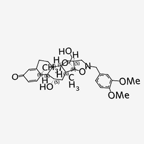 COc1ccc(CN2C[C@@H]3C[C@H]4[C@@H]5CCC6=CC(=O)C=C[C@]6(C)[C@H]5[C@@H](O)C[C@]4(C)[C@]3(C(=O)CO)O2)cc1OC